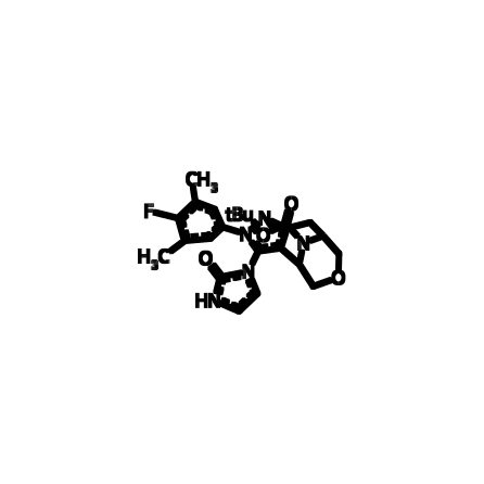 Cc1cc(-n2nc3c(c2-n2cc[nH]c2=O)C2COCC(C3)N2C(=O)OC(C)(C)C)cc(C)c1F